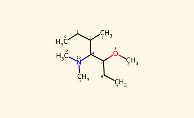 CCC(C)C(C(CC)OC)N(C)C